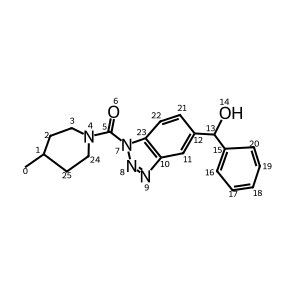 CC1CCN(C(=O)n2nnc3cc(C(O)c4ccccc4)ccc32)CC1